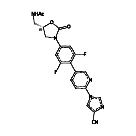 CC(=O)NC[C@H]1CN(c2cc(F)c(-c3ccc(-n4cnc(C#N)c4)nc3)c(F)c2)C(=O)O1